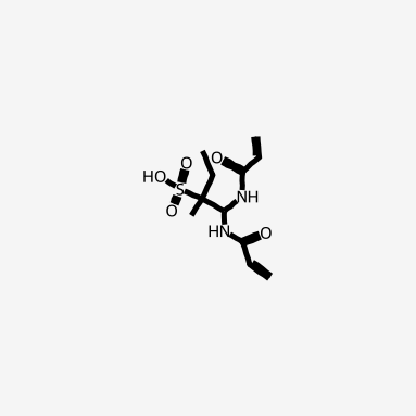 C=CC(=O)NC(NC(=O)C=C)C(C)(CC)S(=O)(=O)O